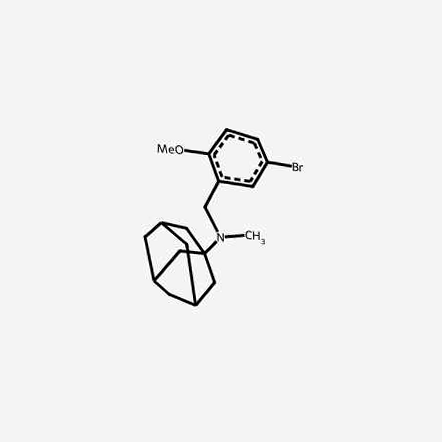 COc1ccc(Br)cc1CN(C)C12CC3CC(CC(C3)C1)C2